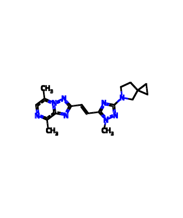 Cc1ncc(C)n2nc(C=Cc3nc(N4CCC5(CC5)C4)nn3C)nc12